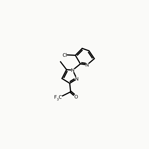 Cc1cc(C(=O)C(F)(F)F)nn1-c1ncccc1Cl